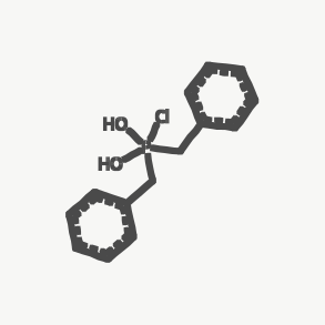 OP(O)(Cl)(Cc1ccccc1)Cc1ccccc1